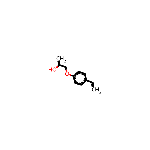 C=Cc1ccc(OCC(=C)O)cc1